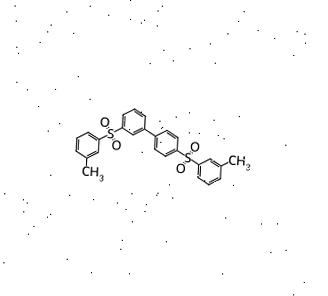 Cc1cccc(S(=O)(=O)c2ccc(-c3cccc(S(=O)(=O)c4cccc(C)c4)c3)cc2)c1